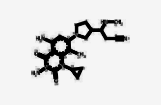 CNC(CC#N)C1CCN(c2cc(N)c3c(=O)n(N)c(=O)n(C4CC4)c3c2C)C1